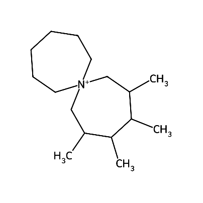 CC1C[N+]2(CCCCCC2)CC(C)C(C)C1C